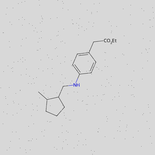 CCOC(=O)Cc1ccc(NCC2CCCC2C)cc1